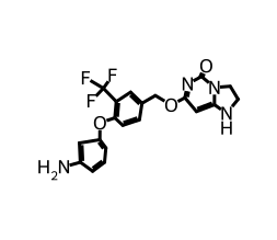 Nc1cccc(Oc2ccc(COc3cc4n(c(=O)n3)CCN4)cc2C(F)(F)F)c1